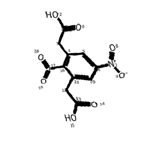 O=C(O)Cc1cc([N+](=O)[O-])cc(CC(=O)O)c1I(=O)=O